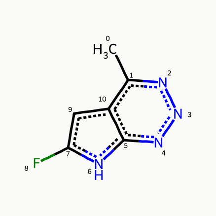 Cc1nnnc2[nH]c(F)cc12